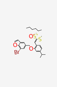 CCCCCC.CS/C(=C\c1ccc(C(C)C)cc1OCc1cc(Br)c2occc2c1)[S+](C)[O-]